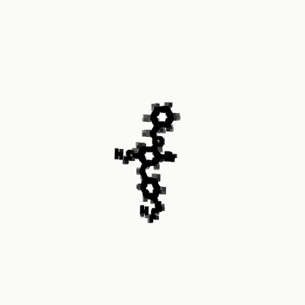 CSc1ccc(Cc2cc(Br)c(OCc3ccccc3)cc2C)cc1